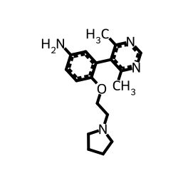 Cc1ncnc(C)c1-c1cc(N)ccc1OCCN1CCCC1